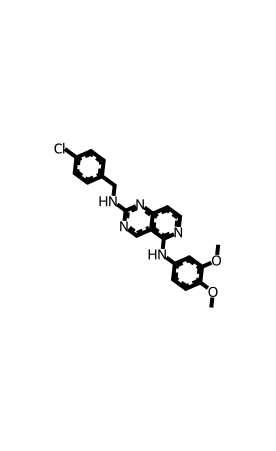 COc1ccc(Nc2nccc3nc(NCc4ccc(Cl)cc4)ncc23)cc1OC